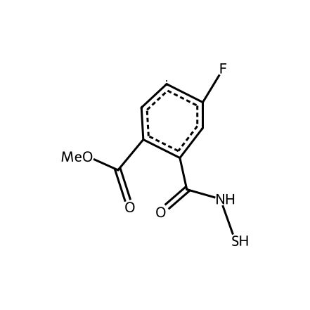 COC(=O)c1c[c]c(F)cc1C(=O)NS